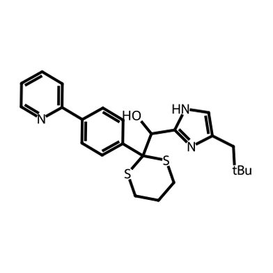 CC(C)(C)Cc1c[nH]c(C(O)C2(c3ccc(-c4ccccn4)cc3)SCCCS2)n1